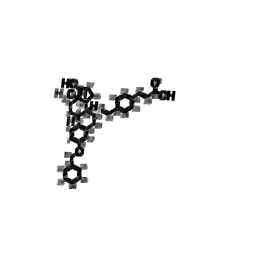 C[C@]12CC[C@@H]3c4ccc(OCc5ccccc5)cc4C[C@@H](/C=C/c4ccc(/C=C/C(=O)O)cc4)[C@H]3[C@@H]1CC[C@@H]2O